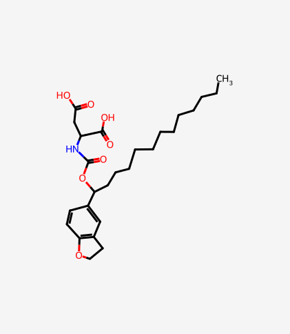 CCCCCCCCCCCCC(OC(=O)NC(CC(=O)O)C(=O)O)c1ccc2c(c1)CCO2